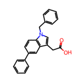 O=C(O)Cc1cn(Cc2ccccc2)c2ccc(-c3ccccc3)cc12